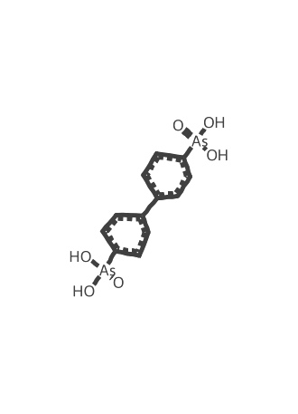 O=[As](O)(O)c1ccc(-c2ccc([As](=O)(O)O)cc2)cc1